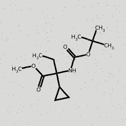 CCC(NC(=O)OC(C)(C)C)(C(=O)OC)C1CC1